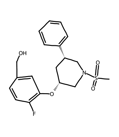 CS(=O)(=O)N1C[C@H](Oc2cc(CO)ccc2F)C[C@H](c2ccccc2)C1